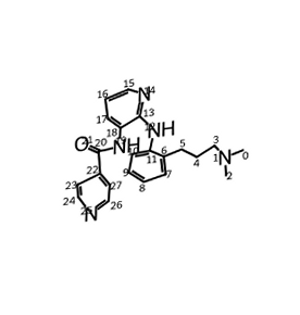 CN(C)CCCc1ccccc1Nc1ncccc1NC(=O)c1ccncc1